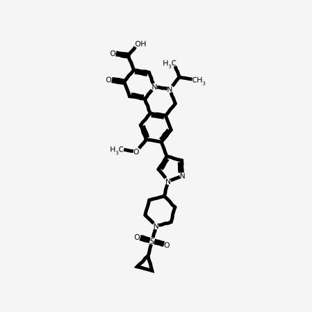 COc1cc2c(cc1-c1cnn(C3CCN(S(=O)(=O)C4CC4)CC3)c1)CN(C(C)C)n1cc(C(=O)O)c(=O)cc1-2